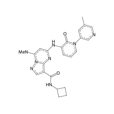 CNc1cc(Nc2cccn(-c3cncc(C)c3)c2=O)nc2c(C(=O)NC3CCC3)cnn12